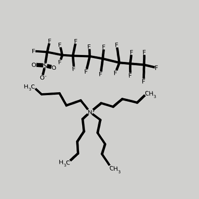 CCCCC[N+](CCCCC)(CCCCC)CCCCC.O=S(=O)([O-])C(F)(F)C(F)(F)C(F)(F)C(F)(F)C(F)(F)C(F)(F)C(F)(F)C(F)(F)F